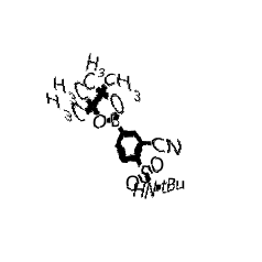 CC(C)(C)NS(=O)(=O)c1ccc(B2OC(C)(C)C(C)(C)O2)cc1C#N